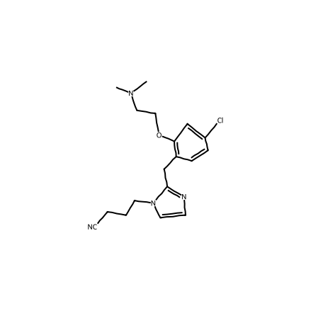 CN(C)CCOc1cc(Cl)ccc1Cc1nccn1CCCC#N